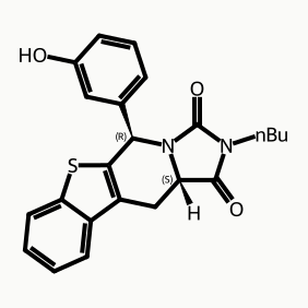 CCCCN1C(=O)[C@@H]2Cc3c(sc4ccccc34)[C@@H](c3cccc(O)c3)N2C1=O